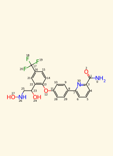 NC(=O)c1cccc(-c2ccc(Oc3ccc(C(F)(F)F)cc3C(O)CNO)cc2)n1